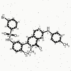 Cc1ccc(Nc2ncc3cc(-c4cc(NS(=O)(=O)c5cccc(Br)c5)ccc4C)n(C)c(=O)c3n2)cn1